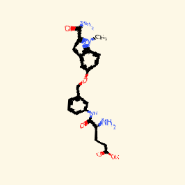 Cn1c(C(N)=O)cc2cc(OCc3cccc(NC(=O)[C@@H](N)CCC(=O)O)c3)ccc21